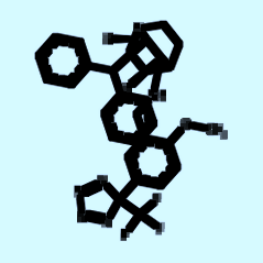 COc1ccc(C2(C(F)(F)F)N=NN=N2)cc1CN[C@H]1C2CCN(CC2)[C@H]1C(c1ccccc1)c1ccccc1